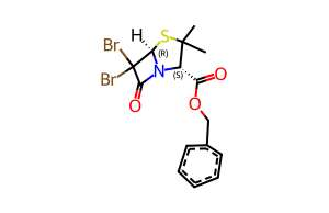 CC1(C)S[C@H]2N(C(=O)C2(Br)Br)[C@H]1C(=O)OCc1ccccc1